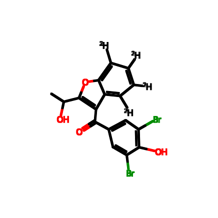 [2H]c1c([2H])c([2H])c2c(C(=O)c3cc(Br)c(O)c(Br)c3)c(C(C)O)oc2c1[2H]